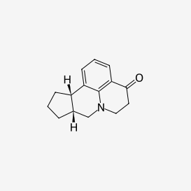 O=C1CCN2C[C@@H]3CCC[C@@H]3c3cccc1c32